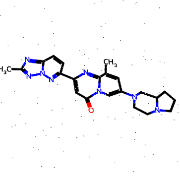 Cc1nc2ccc(-c3cc(=O)n4cc(N5CCN6CCCC6C5)cc(C)c4n3)nn2n1